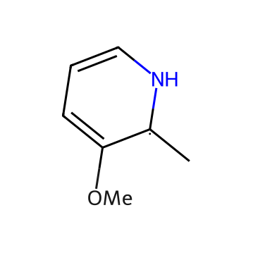 COC1=CC=CN[C]1C